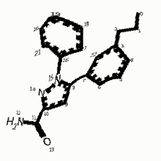 CCCc1cccc(-c2cc(C(N)=O)nn2-c2ccccc2)c1